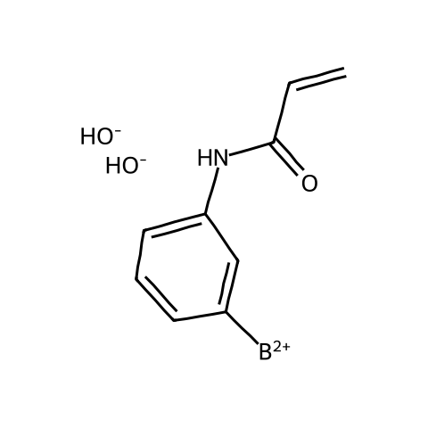 [B+2]c1cccc(NC(=O)C=C)c1.[OH-].[OH-]